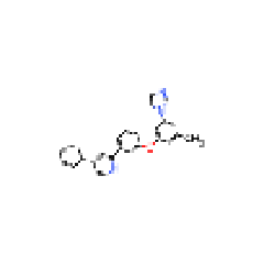 Cc1cc(Oc2cccc(-c3cc(-c4ccccc4)ccn3)c2)cc(-n2ccnc2)c1